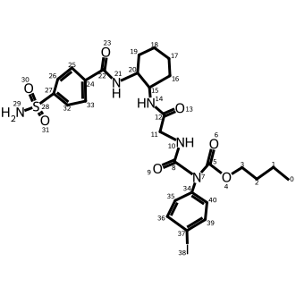 CCCCOC(=O)N(C(=O)NCC(=O)NC1CCCCC1NC(=O)c1ccc(S(N)(=O)=O)cc1)c1ccc(I)cc1